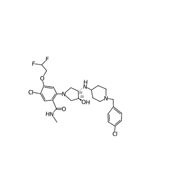 CNC(=O)c1cc(Cl)c(OCC(F)F)cc1N1C[C@H](NC2CCN(Cc3ccc(Cl)cc3)CC2)[C@@H](O)C1